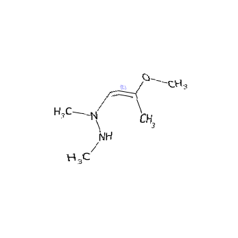 CNN(C)/C=C(\C)OC